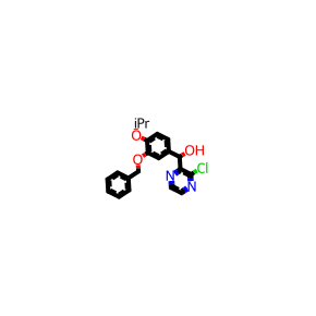 CC(C)Oc1ccc(C(O)c2nccnc2Cl)cc1OCc1ccccc1